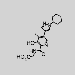 Cc1c(-c2cnn(C3CCCCC3)c2)cnc(C(=O)NCC(=O)O)c1O